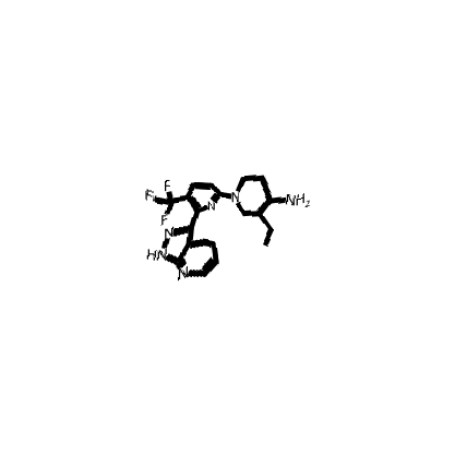 CCC1CN(c2ccc(C(F)(F)F)c(-c3n[nH]c4ncccc34)n2)CCC1N